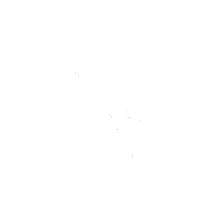 C#CCN/C(=N/CCCSCc1ncccc1Cl)NC#N